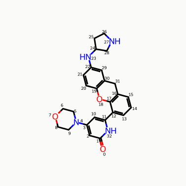 O=c1cc(N2CCOCC2)cc(-c2cccc3c2Oc2ccc(NC4CCNC4)cc2C3)[nH]1